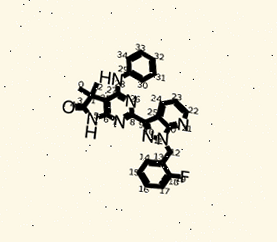 CC1(C)C(=O)Nc2nc(-c3nn(Cc4ccccc4F)c4ncccc34)nc(Nc3ccccc3)c21